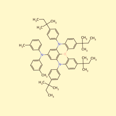 CCC(C)(C)c1ccc(N2c3ccc(C(C)(C)CC)cc3B3c4cc(C(C)(C)CC)ccc4N(c4ccc(C(C)(C)CC)cc4)c4cc(N(c5cccc(C)c5)c5cccc(C)c5)cc2c43)cc1